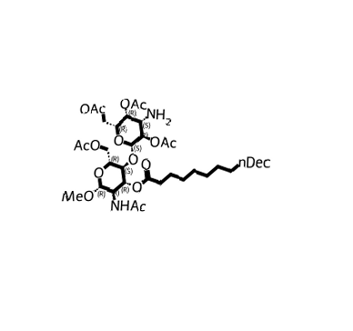 CCCCCCCCCCCCCCCCCC(=O)O[C@@H]1[C@@H](NC(C)=O)[C@H](OC)O[C@H](COC(C)=O)[C@H]1O[C@@H]1O[C@H](COC(C)=O)[C@H](OC(C)=O)[C@H](N)[C@H]1OC(C)=O